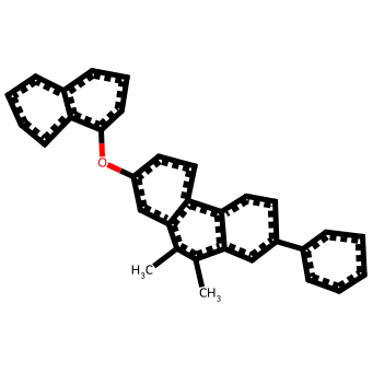 Cc1c(C)c2cc(-c3ccccc3)ccc2c2ccc(Oc3cccc4ccccc34)cc12